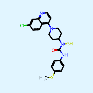 CSc1ccc(NC(=O)N(S)C2CCN(c3ccnc4cc(Cl)ccc34)CC2)cc1